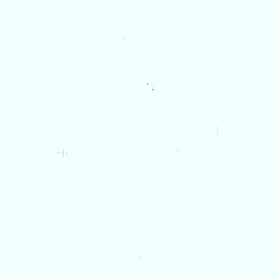 Oc1ccc(C(O)c2cc(C(F)(F)F)nc3c(C(F)(F)F)cccc23)cc1